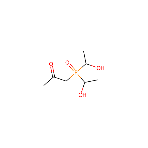 CC(=O)CP(=O)(C(C)O)C(C)O